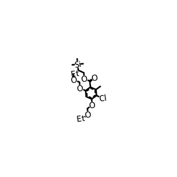 CCOCOc1cc(OCOCC)c(C(=O)OCC[Si](C)(C)C)c(C)c1Cl